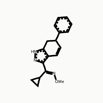 CON=C(c1n[nH]c2c1C=CC(c1ccccc1)C2)C1CC1